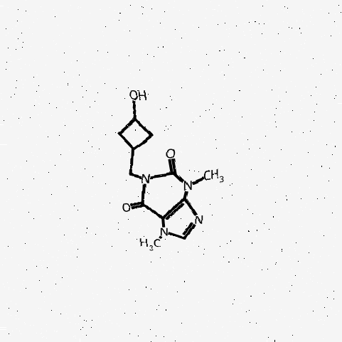 Cn1cnc2c1c(=O)n(CC1CC(O)C1)c(=O)n2C